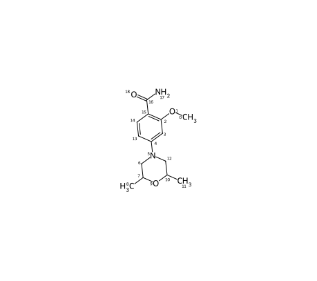 COc1cc(N2CC(C)OC(C)C2)ccc1C(N)=O